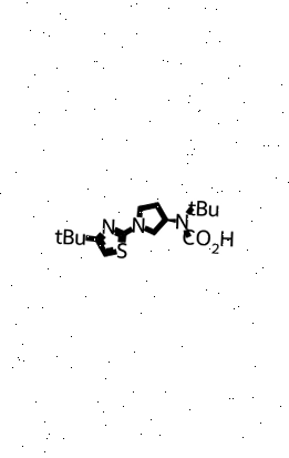 CC(C)(C)c1csc(N2CC[C@@H](N(C(=O)O)C(C)(C)C)C2)n1